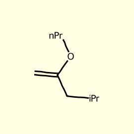 C=C(CC(C)C)OCCC